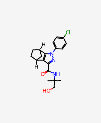 CC(C)(CO)NC(=O)c1nn(-c2ccc(Cl)cc2)c2c1[C@@H]1CC[C@H]2C1